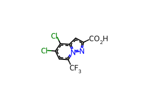 O=C(O)c1cc2c(Cl)c(Cl)cc(C(F)(F)F)n2n1